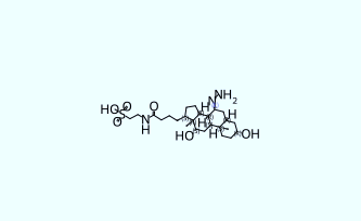 C[C@]12CC[C@@H](O)C[C@H]1C/C(=N\N)[C@@H]1[C@@H]2C[C@H](O)[C@]2(C)[C@@H](CCCC(=O)NCCS(=O)(=O)O)CC[C@@H]12